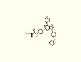 O=C(NCCF)Nc1ccc(-c2nc(N3CCOCC3)c3onc(C4CCN(Cc5ccccc5)CC4)c3n2)cc1